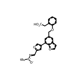 CC(C)(C)[S+]([O-])N=Cc1cc(-c2cc(COc3ccccc3CC(=O)O)cc3ccoc23)co1